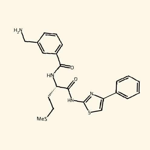 CSCC[C@H](NC(=O)c1cccc(CN)c1)C(=O)Nc1nc(-c2ccccc2)cs1